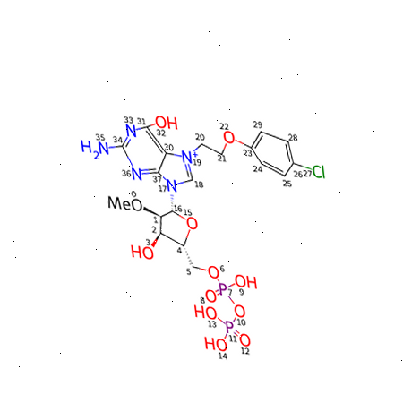 CO[C@@H]1[C@H](O)[C@@H](COP(=O)(O)OP(=O)(O)O)O[C@H]1n1c[n+](CCOc2ccc(Cl)cc2)c2c(O)nc(N)nc21